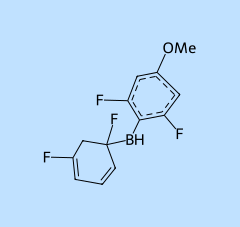 COc1cc(F)c(BC2(F)C=CC=C(F)C2)c(F)c1